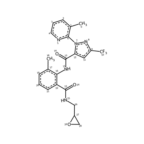 Cc1cccnc1-n1nc(C(F)(F)F)cc1C(=O)Nc1c(C)cccc1C(=O)NCC1CO1